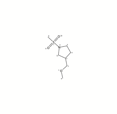 COCC1CCN(S(C)(=O)=O)C1